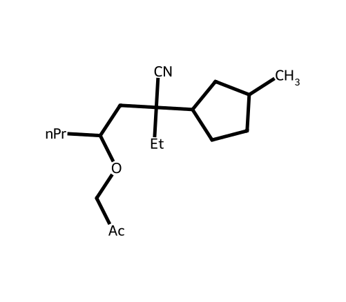 CCCC(CC(C#N)(CC)C1CCC(C)C1)OCC(C)=O